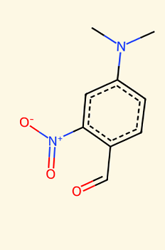 CN(C)c1ccc(C=O)c([N+](=O)[O-])c1